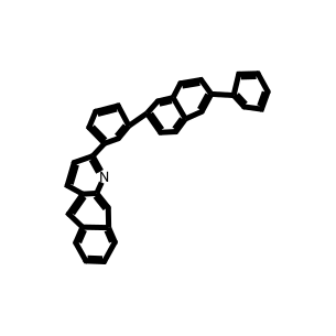 c1ccc(-c2ccc3cc(-c4cccc(-c5ccc6cc7ccccc7cc6n5)c4)ccc3c2)cc1